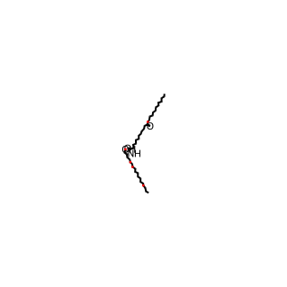 CCCCCCCCCCCCCCCCC(CO)NC(=O)CCCCCCCCCCC(=O)CCCCCCCCCCCCC